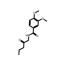 CCCC(=O)CNC(=O)c1ccc(OC)c(OC)c1